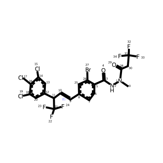 CN(NC(=O)c1ccc(/C=C/C(c2cc(Cl)c(Cl)c(Cl)c2)C(F)(F)F)cc1Br)C(=O)CC(F)(F)F